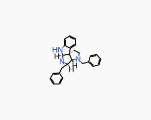 c1ccc(CN2CC[C@@]34c5ccccc5N[C@@H]3[N@]3C(c5ccccc5)[C@@H]3[C@@H]24)cc1